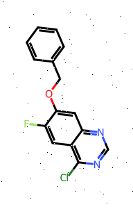 Fc1cc2c(Cl)ncnc2cc1OCc1ccccc1